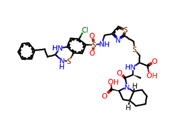 C[C@H](NC(CSCc1nc(CNS(=O)(=O)c2cc3c(cc2Cl)NC(CCc2ccccc2)NS3)cs1)C(=O)O)C(=O)N1[C@@H]2CCCC[C@@H]2C[C@H]1C(=O)O